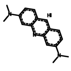 CN(C)c1ccc2cc3ccc(N(C)C)cc3nc2c1.I